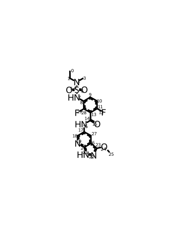 CCN(C)S(=O)(=O)Nc1ccc(F)c(C(=O)Nc2cnc3[nH]nc(OC)c3c2)c1F